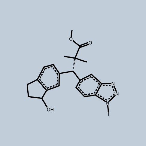 COC(=O)C(C)(C)[C@@H](c1ccc2c(c1)C(O)CC2)c1ccc2c(c1)nnn2I